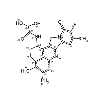 CCc1c(C)cc2n(c1=O)Cc1c-2nc2cc(P)c(C)c3c2c1C(NC(=O)C(O)O)CC3